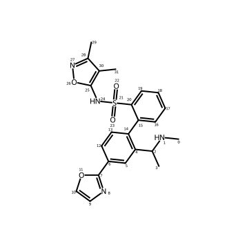 CNC(C)c1cc(-c2ncco2)ccc1-c1ccccc1S(=O)(=O)Nc1onc(C)c1C